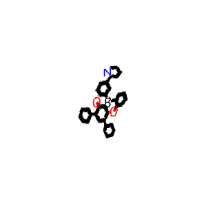 c1ccc(-c2cc(-c3ccccc3)c3c4c2Oc2ccccc2B4c2cc(-c4ccccn4)ccc2O3)cc1